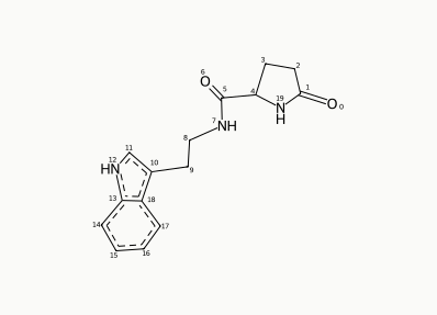 O=C1CCC(C(=O)NCCc2c[nH]c3ccccc23)N1